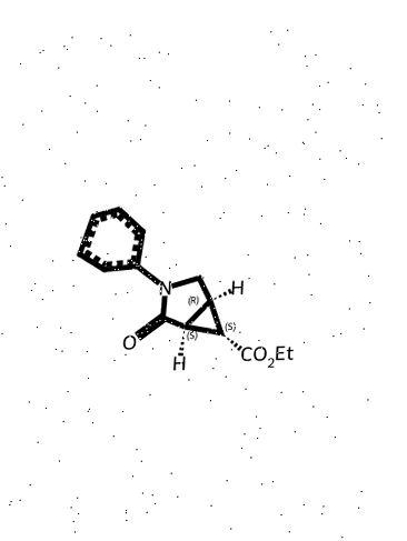 CCOC(=O)[C@H]1[C@@H]2CN(c3ccccc3)C(=O)[C@@H]21